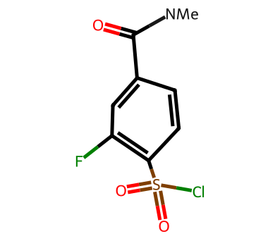 CNC(=O)c1ccc(S(=O)(=O)Cl)c(F)c1